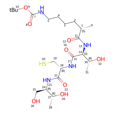 C[C@@H](CCCCNC(=O)OC(C)(C)C)C(=O)N[C@H](C(=O)N[C@@H](CS)C(=O)N[C@H](CO)[C@@H](C)O)[C@@H](C)O